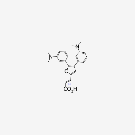 CN(C)c1cccc(-c2cc(/C=C/C(=O)O)oc2-c2cccc(N(C)C)c2)c1